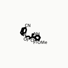 COc1ccc2[nH]cc(C(F)(CC(=O)N3C4CC5CC3CC(C#N)(C5)C4)C(F)(F)F)c2c1F